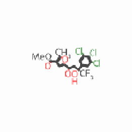 COC(=O)c1cc(C(=O)CC(O)(c2cc(Cl)c(Cl)c(Cl)c2)C(F)(F)F)oc1C